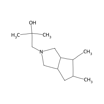 CC1CC2CN(CC(C)(C)O)CC2C1C